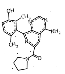 Cc1ccc(O)c(C)c1-c1nc(C(=O)N2CCCC2)cc2c(N)ncnc12